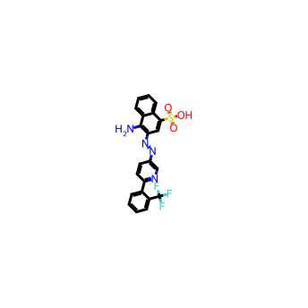 Nc1c(N=Nc2ccc(-c3ccccc3C(F)(F)F)nc2)cc(S(=O)(=O)O)c2ccccc12